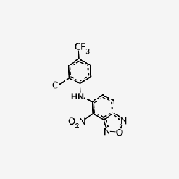 O=[N+]([O-])c1c(Nc2ccc(C(F)(F)F)cc2Cl)ccc2nonc12